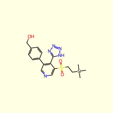 C[Si](C)(C)CCS(=O)(=O)c1cncc(-c2ccc(CO)cc2)c1-c1nnn[nH]1